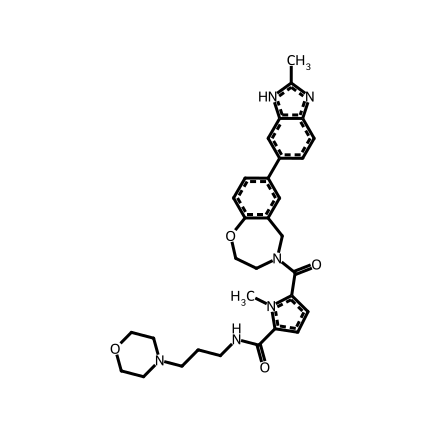 Cc1nc2ccc(-c3ccc4c(c3)CN(C(=O)c3ccc(C(=O)NCCCN5CCOCC5)n3C)CCO4)cc2[nH]1